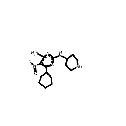 Nc1nc(NC2CCNCC2)nc(C2CCCCC2)c1[N+](=O)[O-]